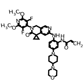 C=CC(=O)Nc1cc(N2CCC(N3CCOCC3)CC2)ccc1Nc1cc2c(cn1)CN(c1c(F)c(OC)nc(OC)c1F)C(=O)C21CC1